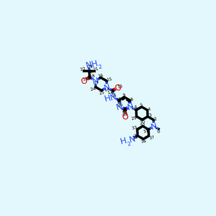 CN(CC1CCC(n2ccc(NC(=O)N3CCN(C(=O)C(C)(C)N)CC3)nc2=O)CC1)C1CCC(N)CC1